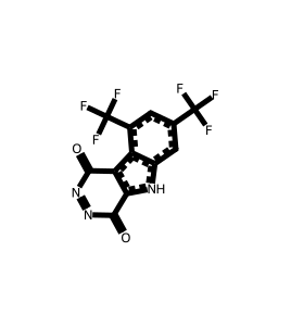 O=C1N=NC(=O)c2c1[nH]c1cc(C(F)(F)F)cc(C(F)(F)F)c21